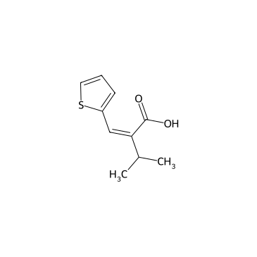 CC(C)/C(=C/c1cccs1)C(=O)O